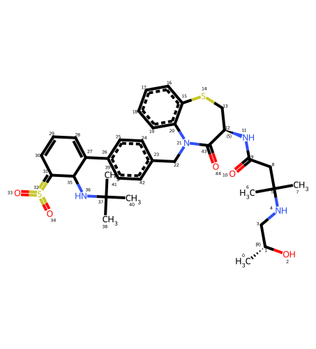 C[C@@H](O)CNC(C)(C)CC(=O)N[C@@H]1CSc2ccccc2N(Cc2ccc(C3=CC=CC(=S(=O)=O)C3NC(C)(C)C)cc2)C1=O